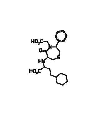 O=C(O)CN1C(=O)C(NC(CCC2CCCCC2)C(=O)O)CSCC1c1ccccc1